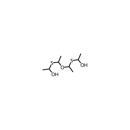 CC(O)SC(C)OC(C)SC(C)O